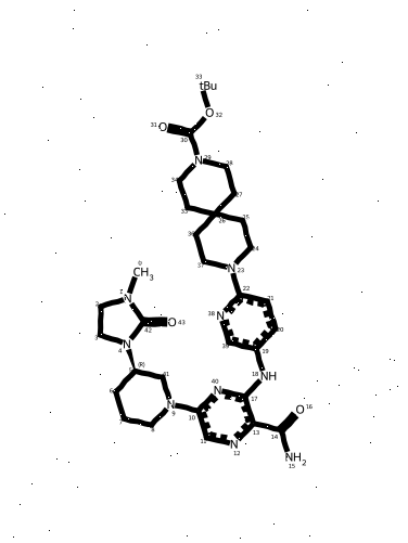 CN1CCN([C@@H]2CCCN(c3cnc(C(N)=O)c(Nc4ccc(N5CCC6(CCN(C(=O)OC(C)(C)C)CC6)CC5)nc4)n3)C2)C1=O